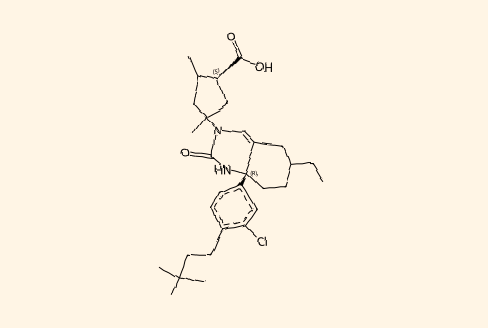 CCC1CC[C@]2(c3ccc(CCC(C)(C)C)c(Cl)c3)NC(=O)N(C3(C)CC(C)[C@@H](C(=O)O)C3)C=C2C1